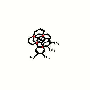 Cc1cc2c(cc1C)N1CCCN3CCCN2C31C12N3CCCN1c1cc(C)c(C)cc1N2CCC3